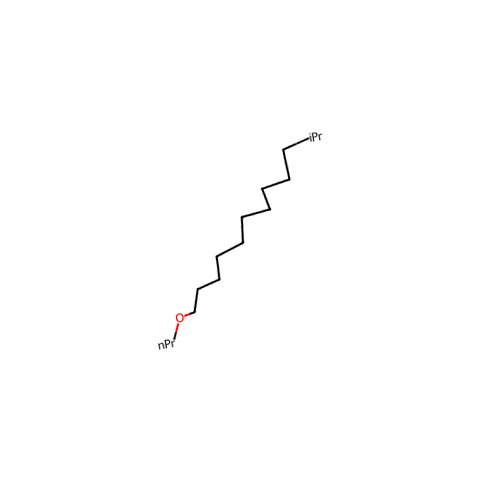 CCCOCCCCCCCCCCC(C)C